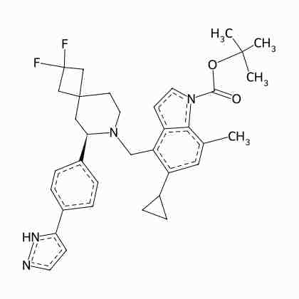 Cc1cc(C2CC2)c(CN2CCC3(C[C@@H]2c2ccc(-c4ccn[nH]4)cc2)CC(F)(F)C3)c2ccn(C(=O)OC(C)(C)C)c12